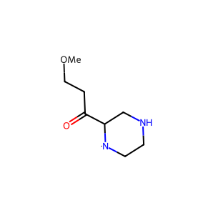 COCCC(=O)C1CNCC[N]1